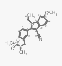 CCn1c(-c2cccc(CN(C)S(C)(=O)=O)c2)c(C#N)c2ccc(OC)cc21